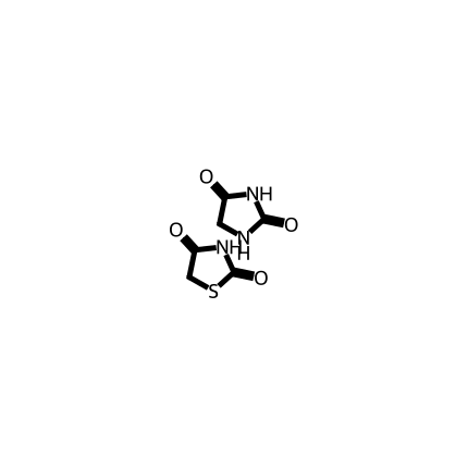 O=C1CNC(=O)N1.O=C1CSC(=O)N1